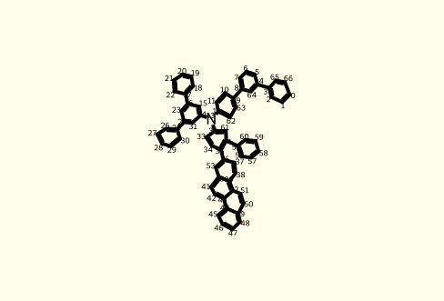 c1ccc(-c2cccc(-c3ccc(N(c4cc(-c5ccccc5)cc(-c5ccccc5)c4)c4ccc(-c5ccc6c(ccc7c8ccccc8ccc67)c5)c(-c5ccccc5)c4)cc3)c2)cc1